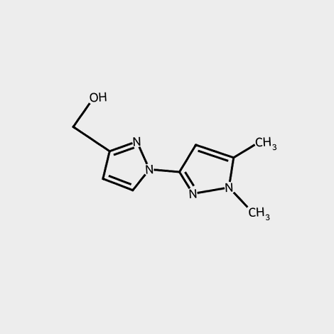 Cc1cc(-n2ccc(CO)n2)nn1C